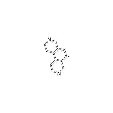 [c]1cc2cnccc2c2ccncc12